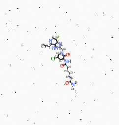 CC(C)Cc1ncc(F)c2nc(Cn3cc(Cl)cc(NC(=O)CCC/C=C/C(=O)N(C)C)c3=O)[nH]c12